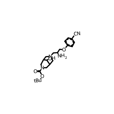 CC(C)(C)OC(=O)N1CC2CN(CC(N)COc3ccc(C#N)cc3)CC(C1)C2O